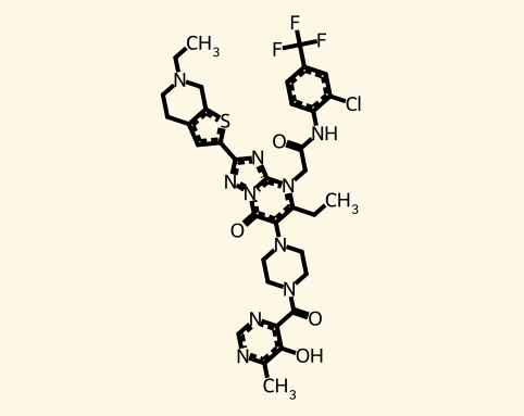 CCc1c(N2CCN(C(=O)c3ncnc(C)c3O)CC2)c(=O)n2nc(-c3cc4c(s3)CN(CC)CC4)nc2n1CC(=O)Nc1ccc(C(F)(F)F)cc1Cl